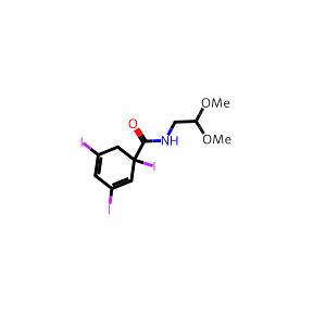 COC(CNC(=O)C1(I)C=C(I)C=C(I)C1)OC